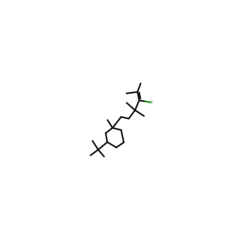 CC(C)=C(F)C(C)(C)CCC1(C)CCCC(C(C)(C)C)C1